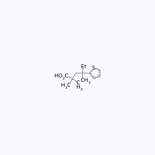 CCC(C)(CC(C)(C)C(=O)O)c1cccs1